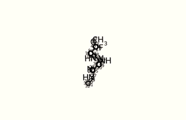 COc1cc(F)cc(-c2cccc3[nH]c(-c4n[nH]c5ccc(-c6cncc(CNCC7CCCC7)c6)cc45)cc23)c1